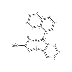 O=Cc1cc2c3ccccc3n(-c3cccc4ccccc34)c2s1